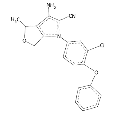 CC1OCc2c1c(N)c(C#N)n2-c1ccc(Oc2ccccc2)c(Cl)c1